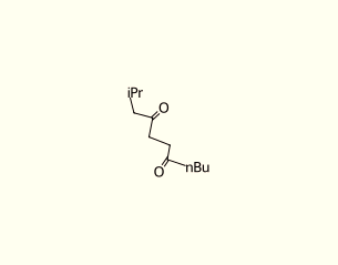 CCCCC(=O)CCC(=O)CC(C)C